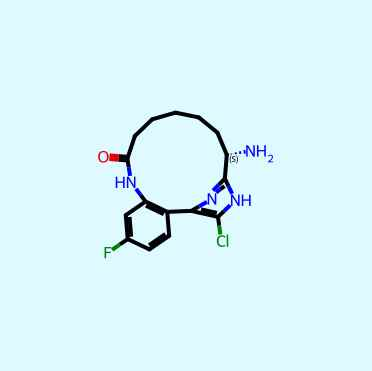 N[C@H]1CCCCCC(=O)Nc2cc(F)ccc2-c2nc1[nH]c2Cl